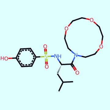 CC(C)C[C@H](NS(=O)(=O)c1ccc(O)cc1)C(=O)N1CCOCCOCCOCC1